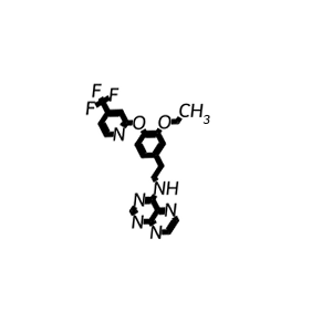 CCOc1cc(CCNc2ncnc3nccnc23)ccc1Oc1cc(C(F)(F)F)ccn1